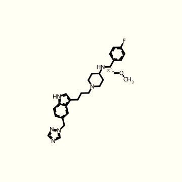 COC[C@H](NC1CCN(CCCc2c[nH]c3ccc(Cn4cncn4)cc23)CC1)c1ccc(F)cc1